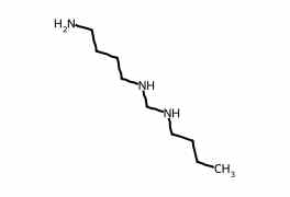 CCCCNCNCCCCN